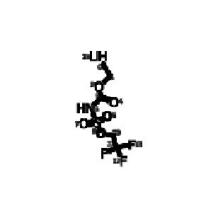 CCOC(=O)NS(=O)(=O)OCC(F)(F)F.[LiH]